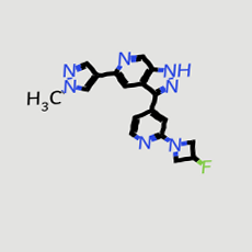 Cn1cc(-c2cc3c(-c4ccnc(N5CC(F)C5)c4)n[nH]c3cn2)cn1